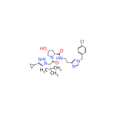 CC(C)(C)[C@@H](C(=O)N1C[C@H](O)C[C@H]1C(=O)NCCc1cn(Cc2ccc(Cl)cc2)cn1)n1cc(C2CC2)nn1